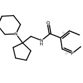 C/C=C(\C=P/C)C(=O)NCC1(N2CCCCC2)CCCC1